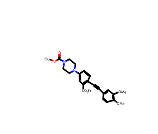 CCOC(=O)c1cc(N2CCN(C(=O)OC(C)(C)C)CC2)ccc1C#Cc1ccc(OC)c(OC)c1